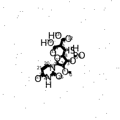 COC1C(O[PH](=O)S)C(CC(C(=O)O)C(=O)O)O[C@H]1n1ccc(=O)[nH]c1=O